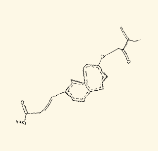 C=C(C)C(=O)Oc1ccc2ccc(/C=C/C(=O)O)cc2c1